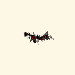 CC(=O)O[C@@H](C)/C=C\C(=O)N[C@@H]1C[C@H](C)[C@H](C/C=C(C)/C=C/[C@H]2O[C@H](CC(=O)NCNC(=O)OCc3ccc(N(C(=O)[C@@H](NC(=O)CCCCCNC(=O)OCC4c5ccccc5-c5ccccc54)C(C)C)[C@@H](CCCNC(N)=O)C(N)=O)cc3)C[C@@]3(CO3)[C@@H]2O)O[C@@H]1C